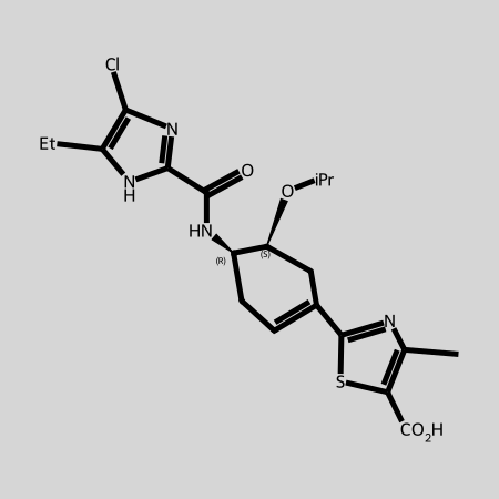 CCc1[nH]c(C(=O)N[C@@H]2CC=C(c3nc(C)c(C(=O)O)s3)C[C@@H]2OC(C)C)nc1Cl